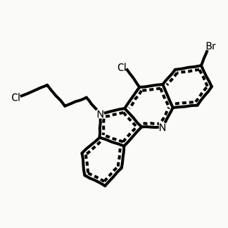 ClCCCn1c2ccccc2c2nc3ccc(Br)cc3c(Cl)c21